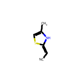 CC1=CSC(=CC#N)N1